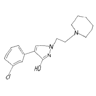 Oc1nn(CCN2CCCCC2)cc1-c1cccc(Cl)c1